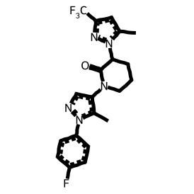 Cc1c(N2CCCC(n3nc(C(F)(F)F)cc3C)C2=O)cnn1-c1ccc(F)cc1